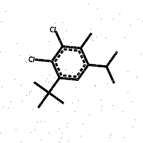 Cc1c(C(C)C)cc(C(C)(C)C)c(Cl)c1Cl